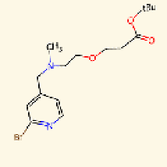 CN(CCOCCC(=O)OC(C)(C)C)Cc1ccnc(Br)c1